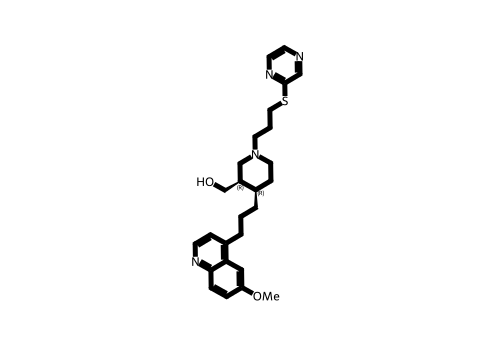 COc1ccc2nccc(CCC[C@@H]3CCN(CCCSc4cnccn4)C[C@@H]3CO)c2c1